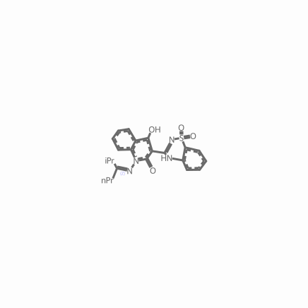 CCC/C(=N/n1c(=O)c(C2=NS(=O)(=O)c3ccccc3N2)c(O)c2ccccc21)C(C)C